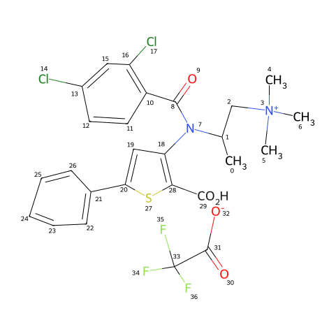 CC(C[N+](C)(C)C)N(C(=O)c1ccc(Cl)cc1Cl)c1cc(-c2ccccc2)sc1C(=O)O.O=C([O-])C(F)(F)F